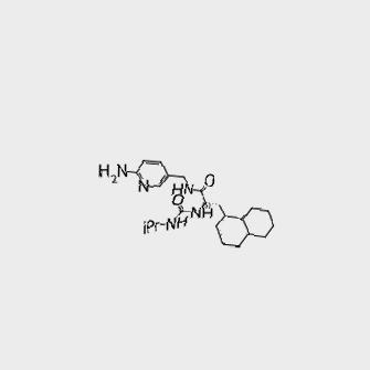 CC(C)NC(=O)N[C@@H](CC1CCCC2CCCCC21)C(=O)NCc1ccc(N)nc1